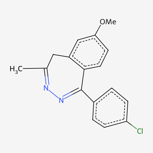 COc1ccc2c(c1)CC(C)=NN=C2c1ccc(Cl)cc1